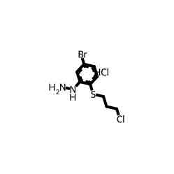 Cl.NNc1cc(Br)ccc1SCCCCl